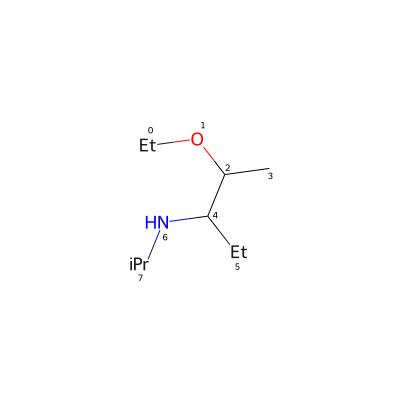 CCOC(C)C(CC)NC(C)C